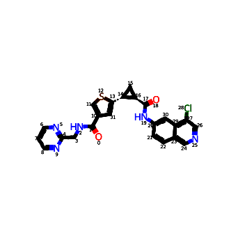 O=C(NCc1ncccn1)c1csc([C@@H]2C[C@H]2C(=O)Nc2ccc3cncc(Cl)c3c2)c1